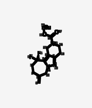 C=C1CCC(F)(F)c2c3c(nn2C1)CCN(C(=O)OCCCC)C3